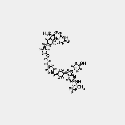 C[C@H](CC(F)(F)F)Nc1ncc2c(-c3ccc(CN4CCN(CCCO[C@H]5CCN(Cc6ccc7c(c6)n(C)c(=O)n7C6CCC(=O)NC6=O)C5)CC4)cc3)cn([C@H]3CC[C@H](O)CC3)c2n1